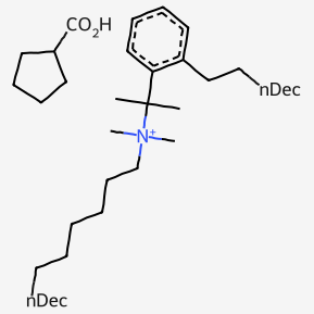 CCCCCCCCCCCCCCCC[N+](C)(C)C(C)(C)c1ccccc1CCCCCCCCCCCC.O=C(O)C1CCCC1